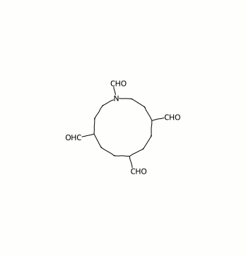 O=CC1CCC(C=O)CCN(C=O)CCC(C=O)CC1